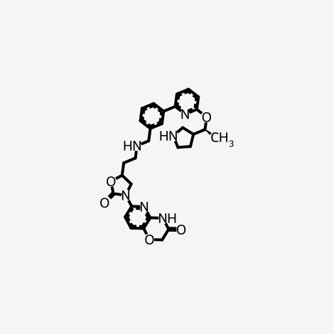 C[C@H](Oc1cccc(-c2cccc(CNCCC3CN(c4ccc5c(n4)NC(=O)CO5)C(=O)O3)c2)n1)C1CCNC1